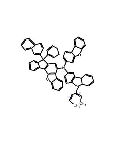 C/C=C\C(=C/C)N1c2ccc(N(c3ccc4c(c3)oc3ccccc34)c3cc4c(c5oc6ccccc6c35)-c3ccccc3C4(C3=CCCC=C3)c3ccc4ccccc4c3)cc2C2C=CC=CC21